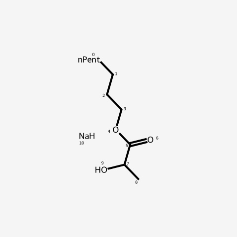 CCCCCCCCOC(=O)C(C)O.[NaH]